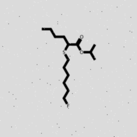 CCCCC(SCCCCCCF)C(=O)OC(C)C